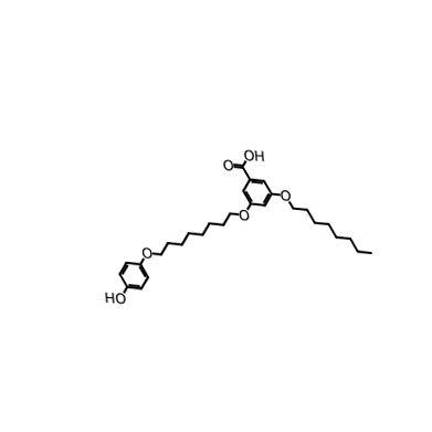 CCCCCCCCOc1cc(OCCCCCCCCOc2ccc(O)cc2)cc(C(=O)O)c1